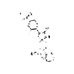 CN(C)C1(c2ccccc2)CCC2(CC1)CN(c1ccc(S(C)(=O)=O)cc1F)C(=O)N2